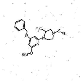 CCSN1CCN(c2cc(OCc3ccccc3)cc(OC(C)(C)C)n2)C(C(F)(F)F)C1